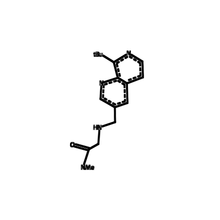 CNC(=O)CNCc1cnc2c(C(C)(C)C)nccc2c1